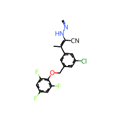 C=NN/C(C#N)=C(\C)c1cc(Cl)cc(COc2c(F)cc(F)cc2F)c1